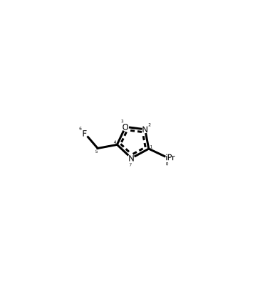 CC(C)c1noc(CF)n1